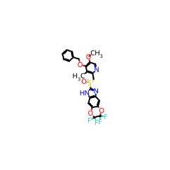 COc1cnc(C[S+]([O-])c2nc3cc4c(cc3[nH]2)OC(F)(F)C(F)(F)O4)c(C)c1OCc1ccccc1